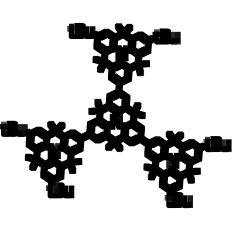 CC(C)(C)c1cc2c3c(c1)C(C)(C)c1cc(C(C)(C)C)cc4c1N3c1c(cc(-c3cc5c6c(c3)C(C)(C)c3cc(-c7cc8c9c(c7)C(C)(C)c7cc(C(C)(C)C)cc%10c7N9c7c(cc(C(C)(C)C)cc7C%10(C)C)C8(C)C)cc7c3N6c3c(cc(-c6cc8c9c(c6)C(C)(C)c6cc(C(C)(C)C)cc%10c6N9c6c(cc(C(C)(C)C)cc6C%10(C)C)C8(C)C)cc3C7(C)C)C5(C)C)cc1C4(C)C)C2(C)C